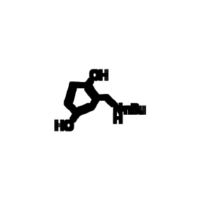 CCCCNCc1cc(O)ccc1O